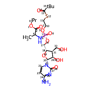 CC(C)OC(=O)C(C)NP(=O)(OCCSC(=O)C(C)(C)C)OC[C@H]1O[C@@H](n2ccc(N)nc2=O)[C@H](O)[C@@H]1CO